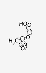 Cc1ccc(Oc2cccc(CC(=O)O)c2)c(CN2CCOC2=O)c1